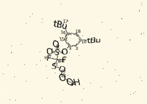 CC(C)(C)c1cc(OS(=O)(=O)C(F)(F)SOOO)cc(C(C)(C)C)c1